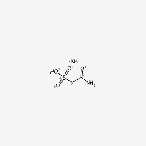 NC(=O)CS(=O)(=O)O.[KH]